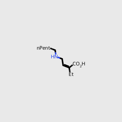 CCCCCCNCC=C(CC)C(=O)O